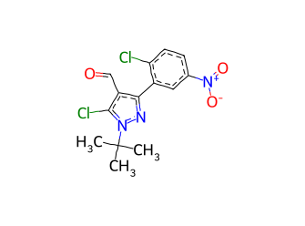 CC(C)(C)n1nc(-c2cc([N+](=O)[O-])ccc2Cl)c(C=O)c1Cl